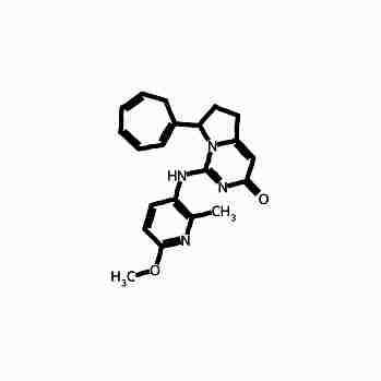 COc1ccc(Nc2nc(=O)cc3n2C(C2=CC=CC=CC2)CC3)c(C)n1